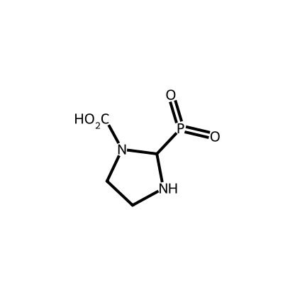 O=C(O)N1CCNC1P(=O)=O